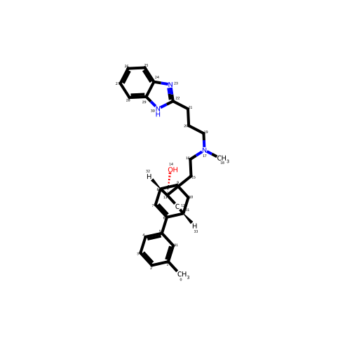 Cc1cccc(C2=C[C@@H]3CC[C@H]2C[C@]3(O)CCN(C)CCCc2nc3ccccc3[nH]2)c1